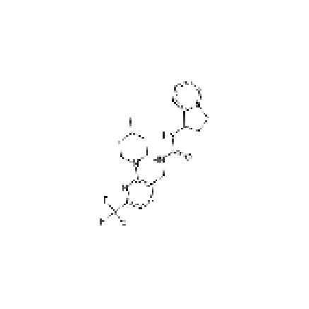 CC1CCN(c2nc(C(F)(F)F)ccc2CNC(=O)NC2CCc3ccccc32)CC1